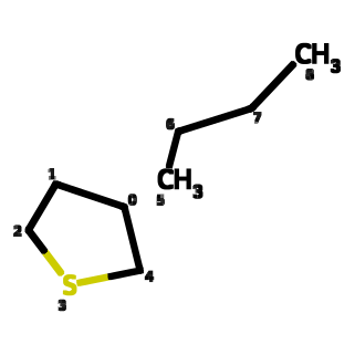 C1CCSC1.CCCC